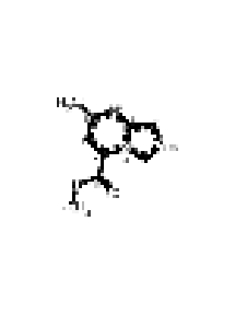 COC(=O)c1cc(C)nc2cncn12